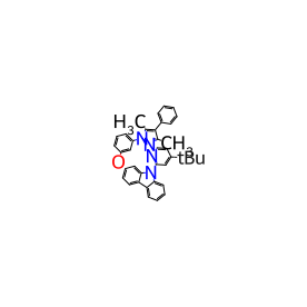 Cc1nn(-c2cccc(Oc3ccc4c5ccccc5n(-c5cc(C(C)(C)C)ccn5)c4c3)c2)c(C)c1-c1ccccc1